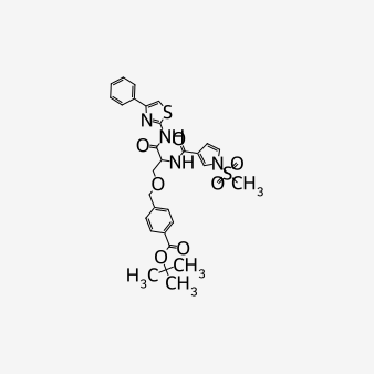 CC(C)(C)OC(=O)c1ccc(COCC(NC(=O)c2ccn(S(C)(=O)=O)c2)C(=O)Nc2nc(-c3ccccc3)cs2)cc1